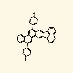 C1=CC(c2cc3c4cc5c(cc4c(C4=CCNC=C4)cc3c3ccccc23)-c2cccc3cccc-5c23)=CCN1